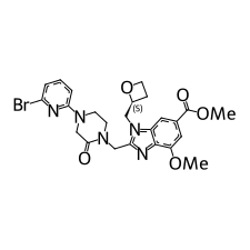 COC(=O)c1cc(OC)c2nc(CN3CCN(c4cccc(Br)n4)CC3=O)n(C[C@@H]3CCO3)c2c1